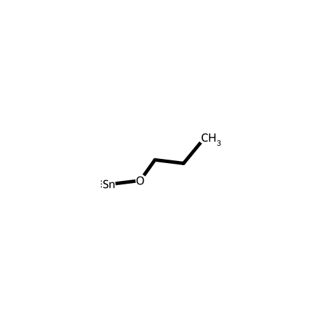 CCC[O][Sn]